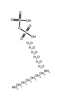 N.O.O.O.O.O.O.O.O.O.O.O.O.O=S(=O)(O)OS(=O)(=O)O.[AlH3]